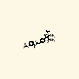 CC(C)n1nc(-c2ccc(CC(=O)Nc3cccc(SC(F)F)c3)cc2)c(C(N)=O)c1N